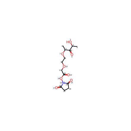 CC(O)C(=O)C(C)OCCOCC(=O)ON1C(=O)CCC1=O